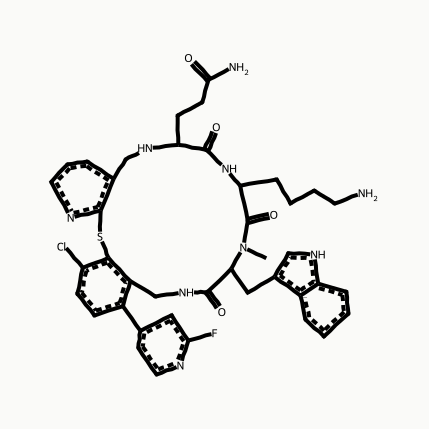 CN1C(=O)C(CCCCN)NC(=O)C(CCC(N)=O)NCc2cccnc2Sc2c(Cl)ccc(-c3ccnc(F)c3)c2CNC(=O)C1Cc1c[nH]c2ccccc12